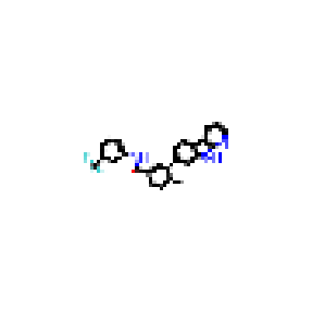 Cc1ccc(C(=O)Nc2cccc(C(F)(F)F)c2)cc1-c1ccc2c(c1)[nH]c1ncccc12